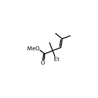 CCC(C)(C=C(C)C)C(=O)OC